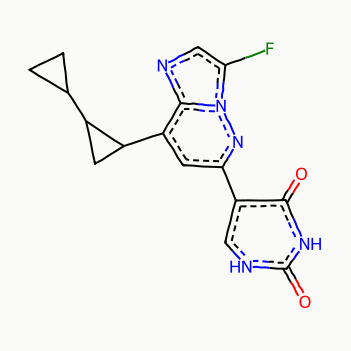 O=c1[nH]cc(-c2cc(C3CC3C3CC3)c3ncc(F)n3n2)c(=O)[nH]1